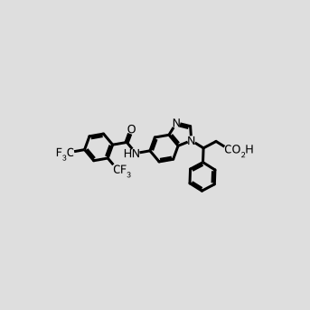 O=C(O)CC(c1ccccc1)n1cnc2cc(NC(=O)c3ccc(C(F)(F)F)cc3C(F)(F)F)ccc21